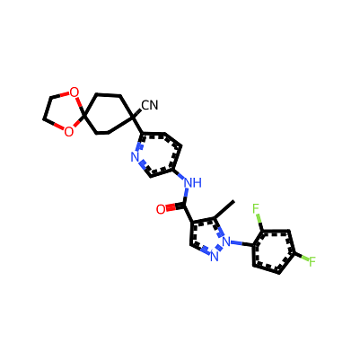 Cc1c(C(=O)Nc2ccc(C3(C#N)CCC4(CC3)OCCO4)nc2)cnn1-c1ccc(F)cc1F